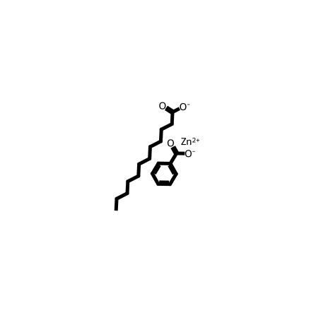 CCCCCCCCCCCC(=O)[O-].O=C([O-])c1ccccc1.[Zn+2]